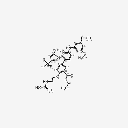 C=C(C)NCCOc1ncc(-c2cnc(Nc3cc(OC)cc(OC)c3)nc2-n2nc(C(F)(F)F)cc2C)cc1C(=O)OCC